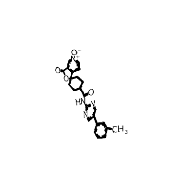 Cc1cccc(-c2cnc(NC(=O)C3CCC4(CC3)OC(=O)c3c[n+]([O-])ccc34)nc2)c1